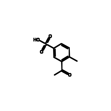 CC(=O)c1cc(S(=O)(=O)O)ccc1C